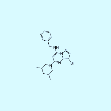 CC1CC(C)CN(c2cc(NCc3cccnc3)n3ncc(Br)c3n2)C1